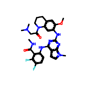 CNC(=O)c1c(Nc2nc(Nc3cc4c(cc3OC)CCCN4C(=O)CN(C)C)nc3c2ccn3C)ccc(F)c1F